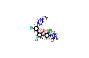 CC(C)N1CCN(c2cc(F)cc(-c3cc(F)cc(-c4ccc(-n5ccn(C)c5=O)c(Cl)c4)c3O)c2)CC1